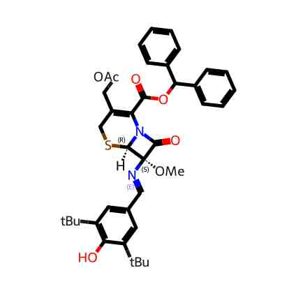 CO[C@@]1(/N=C/c2cc(C(C)(C)C)c(O)c(C(C)(C)C)c2)C(=O)N2C(C(=O)OC(c3ccccc3)c3ccccc3)=C(COC(C)=O)CS[C@@H]21